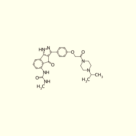 CNC(=O)Nc1cccc2c1C(=O)c1c(-c3ccc(OCC(=O)N4CCN(C(C)C)CC4)cc3)n[nH]c1-2